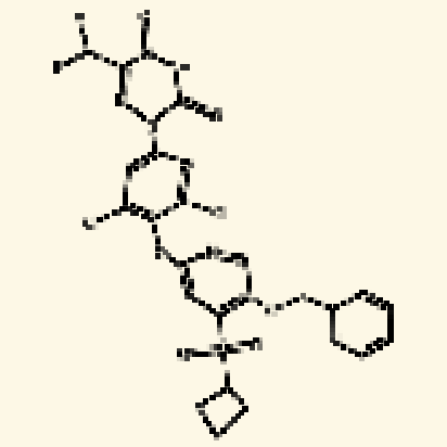 O=c1[nH]c(=O)n(-c2cc(Cl)c(Oc3cc(S(=O)(=O)C4CCC4)c(OCc4ccccc4)cn3)c(Cl)c2)nc1C(F)F